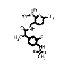 CCCN(CCC)c1nc(C(F)(F)F)ccc1CNC(=O)C(C)c1ccc(NS(C)(=O)=O)c(F)c1